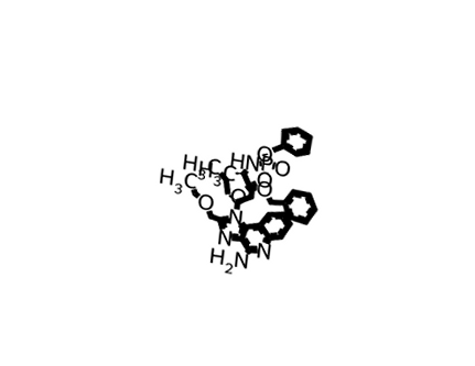 CCC[C@H](CCOP(=O)(N[C@@H](C)C(=O)OCc1ccccc1)Oc1ccccc1)n1c(COCC)nc2c(N)nc3ccccc3c21